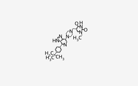 CCn1cc(CN2CCN(c3cnc(-c4ccc(C(C)(C)C)cc4)c4[nH]cnc34)CC2)c(=O)[nH]c1=O